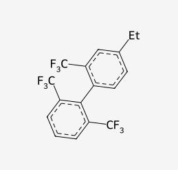 CCc1ccc(-c2c(C(F)(F)F)cccc2C(F)(F)F)c(C(F)(F)F)c1